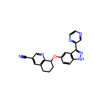 N#Cc1cnc2c(c1)CCCC2Oc1ccc2[nH]nc(-c3cnccn3)c2c1